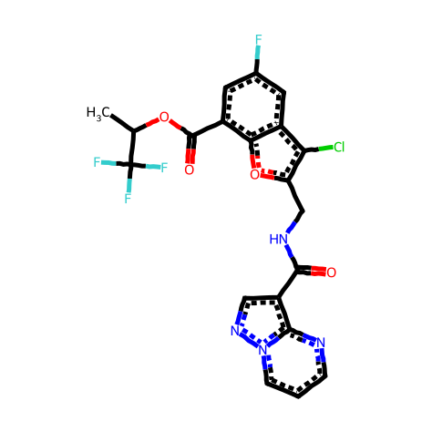 CC(OC(=O)c1cc(F)cc2c(Cl)c(CNC(=O)c3cnn4cccnc34)oc12)C(F)(F)F